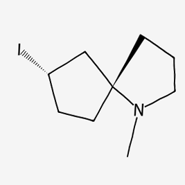 CN1CCC[C@]12CC[C@H](I)C2